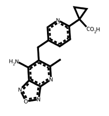 Cc1nc2nonc2c(N)c1Cc1ccc(C2(C(=O)O)CC2)nc1